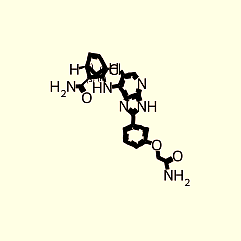 NC(=O)COc1cccc(-c2nc3c(N[C@H]4[C@@H](C(N)=O)[C@@H]5C=C[C@H]4C5)c(Cl)cnc3[nH]2)c1